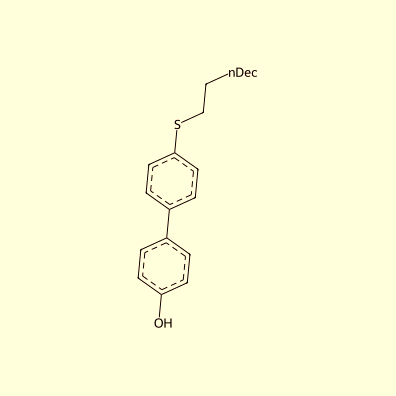 CCCCCCCCCCCCSc1ccc(-c2ccc(O)cc2)cc1